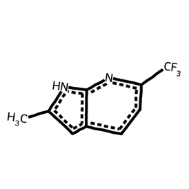 Cc1cc2ccc(C(F)(F)F)nc2[nH]1